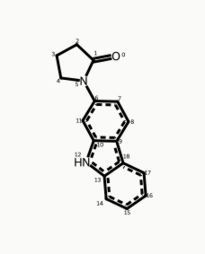 O=C1CCCN1c1ccc2c(c1)[nH]c1ccccc12